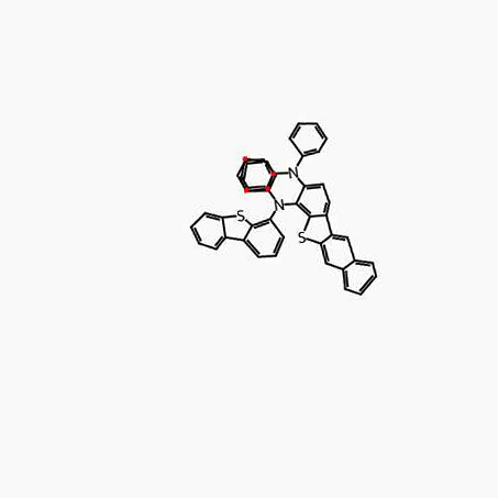 c1ccc(N(c2ccccc2)c2ccc3c(sc4cc5ccccc5cc43)c2N(c2ccccc2)c2cccc3c2sc2ccccc23)cc1